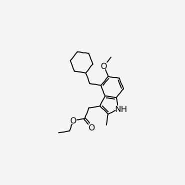 CCOC(=O)Cc1c(C)[nH]c2ccc(OC)c(CC3CCCCC3)c12